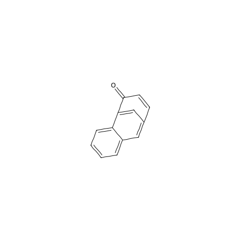 O=C1C=Cc2cc1c1ccccc1c2